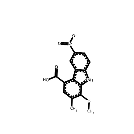 COc1c(C)cc(C(=O)O)c2c1[nH]c1ccc([N+](=O)[O-])cc12